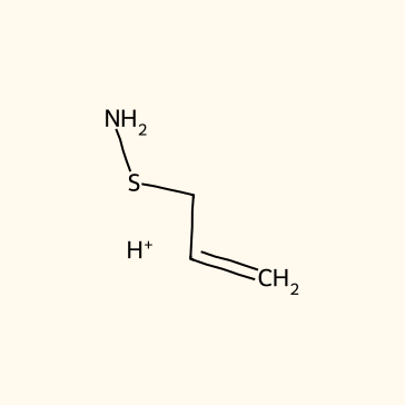 C=CCSN.[H+]